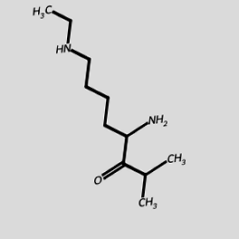 CCNCCCCC(N)C(=O)C(C)C